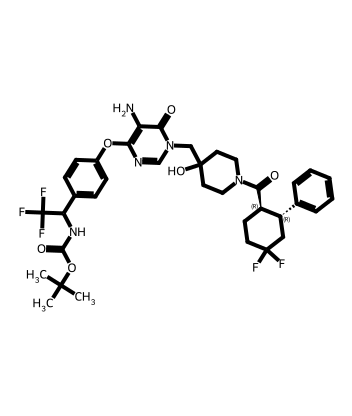 CC(C)(C)OC(=O)NC(c1ccc(Oc2ncn(CC3(O)CCN(C(=O)[C@@H]4CCC(F)(F)C[C@H]4c4ccccc4)CC3)c(=O)c2N)cc1)C(F)(F)F